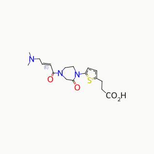 CN(C)C/C=C/C(=O)N1CCN(c2ccc(CCC(=O)O)s2)C(=O)C1